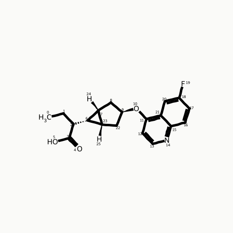 CCC(C(=O)O)[C@@H]1[C@@H]2C[C@@H](Oc3ccnc4ccc(F)cc34)C[C@@H]21